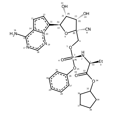 CC[C@H](N[P@@](=O)(OC[C@@]1(C#N)O[C@@H](c2ccc3c(N)ncnn23)[C@H](O)[C@@H]1O)Oc1ccccc1)C(=O)OC1CCCC1